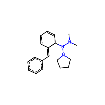 CN(C)N(C1C=CC=CC1=Cc1ccccc1)N1CCCC1